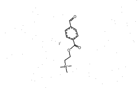 C[N+](C)(C)CCOC(=O)c1ccc(C=O)cc1.[I-]